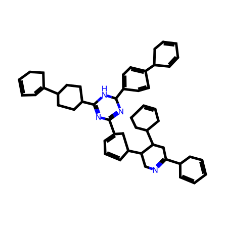 C1=CCCC(C2CCC(C3=NC(C4=CC=CC(C5CN=C(C6C=CC=CC6)CC5C5CC=CCC5)C4)=NC(c4ccc(C5C=CC=CC5)cc4)N3)CC2)=C1